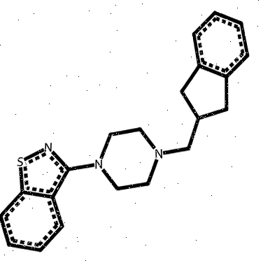 c1ccc2c(c1)CC(CN1CCN(c3nsc4ccccc34)CC1)C2